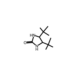 CC(C)(C)C1NC(=O)NC1C(C)(C)C